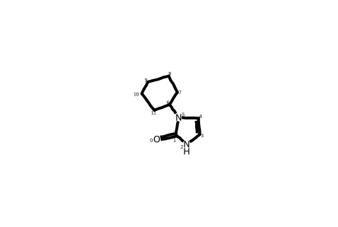 O=c1[nH]ccn1C1CCCCC1